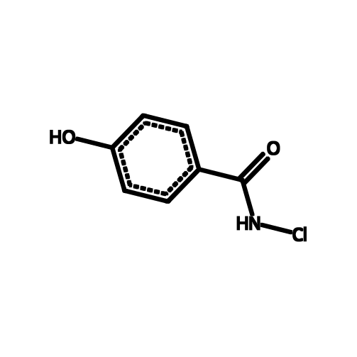 O=C(NCl)c1ccc(O)cc1